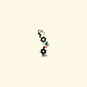 C=CCC[C@H]1CC[C@H](CC(F)(F)OCc2ccc(CCC)cc2)CC1